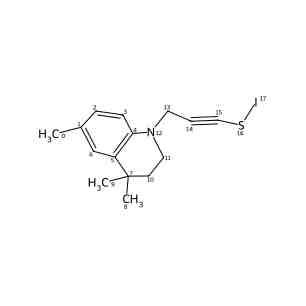 Cc1ccc2c(c1)C(C)(C)CCN2CC#CSI